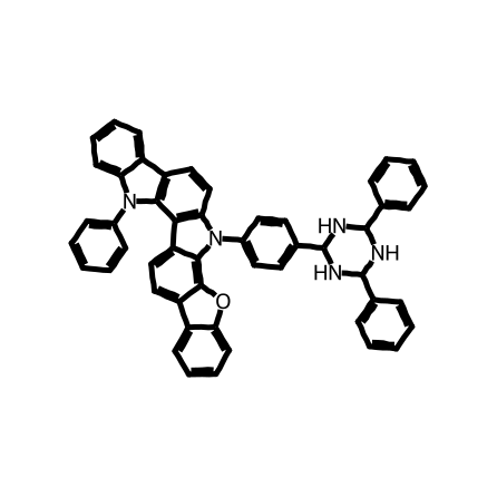 c1ccc(C2NC(c3ccccc3)NC(c3ccc(-n4c5ccc6c7ccccc7n(-c7ccccc7)c6c5c5ccc6c7ccccc7oc6c54)cc3)N2)cc1